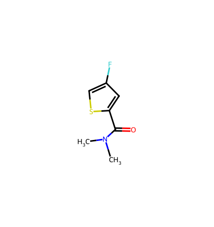 CN(C)C(=O)c1cc(F)cs1